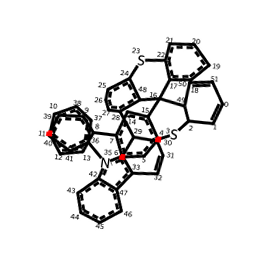 C1=CC2Sc3ccc(-c4ccccc4)cc3C3(c4ccccc4Sc4cccc(C5CC=Cc6c5n(-c5ccccc5)c5ccccc65)c43)C2C=C1